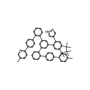 Cc1ccc(-c2ccc(-c3ccccc3-c3cc(-c4ccccc4-c4ccc(-c5ccc(C)cn5)cc4)cc(-c4cc5c(cc4-c4cn[nH]c4)C(C)(C)C(C)(C)C5(C)C)c3)cc2)nc1